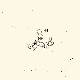 Cc1c(C#N)cccc1[C@@H](C)Nc1nnc(CN(C)C(=O)OC(C)(C)C)c2cnc(N3C[C@H]4C[C@@H]3CO4)cc12